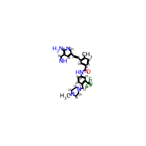 Cc1ccc(C(=O)Nc2ccc(CN3CCN(C)CC3)c(C(F)(F)F)c2)cc1C#Cc1cnc(N)c(C=N)c1